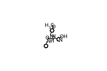 COc1ccc(Cn2nc(-c3ccnc(O)c3)cc2C(=O)NCc2ccccc2)cc1